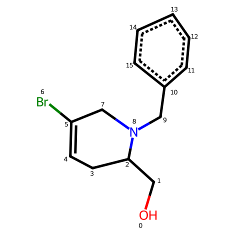 OCC1CC=C(Br)CN1Cc1ccccc1